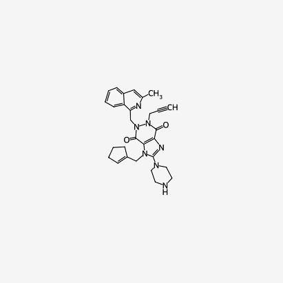 C#CCn1c(=O)c2nc(N3CCNCC3)n(CC3=CCCC3)c2c(=O)n1Cc1nc(C)cc2ccccc12